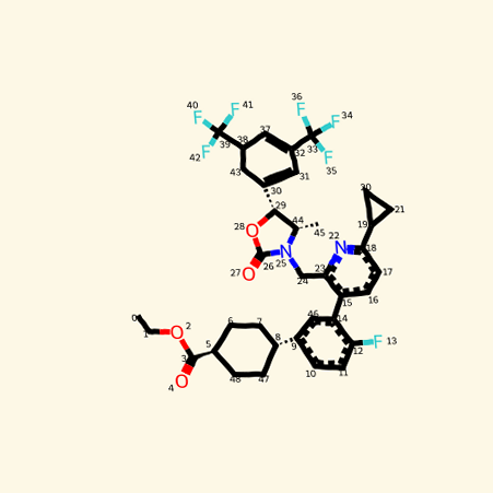 CCOC(=O)[C@H]1CC[C@H](c2ccc(F)c(-c3ccc(C4CC4)nc3CN3C(=O)O[C@H](C4=CC(C(F)(F)F)=CC(C(F)(F)F)C4)[C@@H]3C)c2)CC1